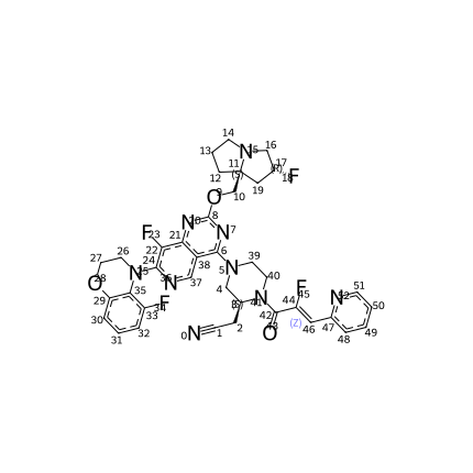 N#CC[C@H]1CN(c2nc(OC[C@@]34CCCN3C[C@H](F)C4)nc3c(F)c(N4CCOc5cccc(F)c54)ncc23)CCN1C(=O)/C(F)=C/c1ccccn1